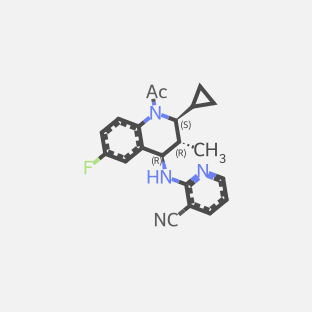 CC(=O)N1c2ccc(F)cc2[C@H](Nc2ncccc2C#N)[C@@H](C)[C@@H]1C1CC1